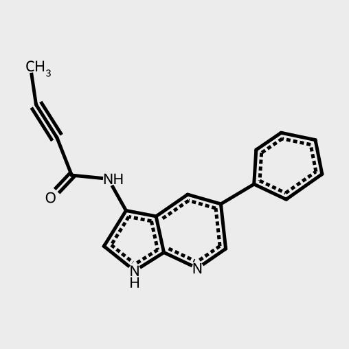 CC#CC(=O)Nc1c[nH]c2ncc(-c3ccccc3)cc12